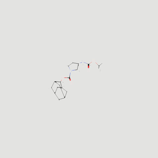 CC(C)OC(=O)N[C@@H]1CCN(C(=O)OC2C3CC4CC(C3)CC2C4)C1